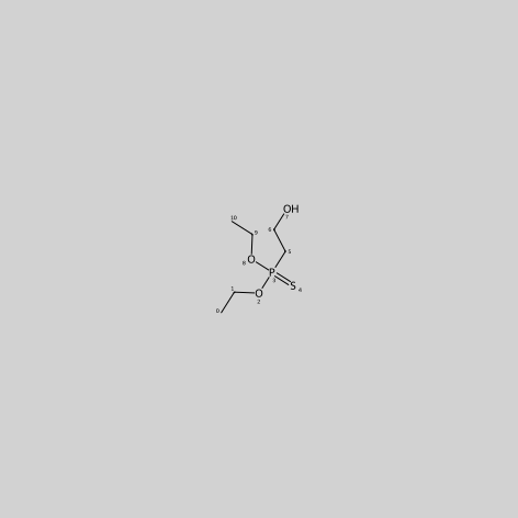 CCOP(=S)(CCO)OCC